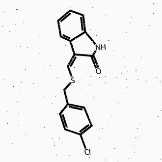 O=C1Nc2ccccc2C1=CSCc1ccc(Cl)cc1